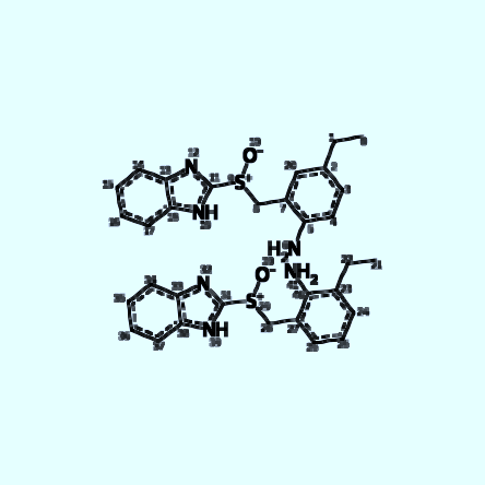 CCc1ccc(N)c(C[S+]([O-])c2nc3ccccc3[nH]2)c1.CCc1cccc(C[S+]([O-])c2nc3ccccc3[nH]2)c1N